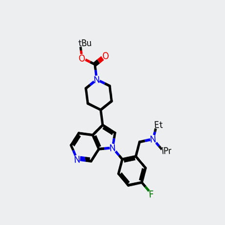 CCN(Cc1cc(F)ccc1-n1cc(C2CCN(C(=O)OC(C)(C)C)CC2)c2ccncc21)C(C)C